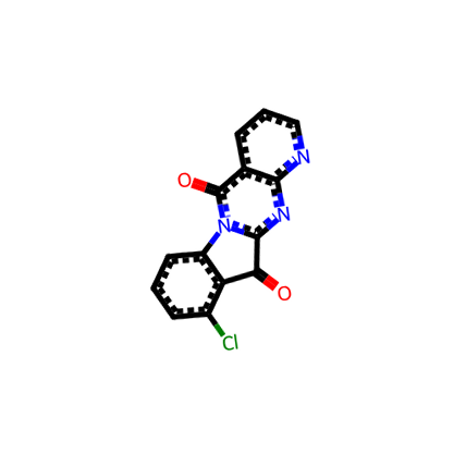 O=C1c2c(Cl)cccc2-n2c1nc1ncccc1c2=O